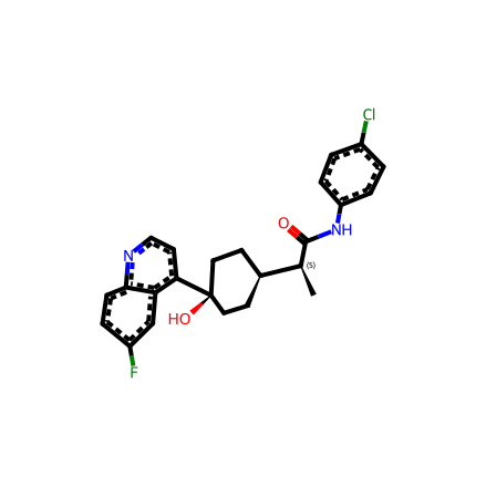 C[C@H](C(=O)Nc1ccc(Cl)cc1)[C@H]1CC[C@](O)(c2ccnc3ccc(F)cc32)CC1